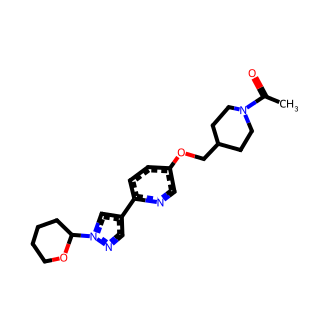 CC(=O)N1CCC(COc2ccc(-c3cnn(C4CCCCO4)c3)nc2)CC1